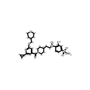 NS(=O)(=O)c1ccc([S+]([O-])CCC2CCN(C(=O)c3cc(OCC4CCOCC4)nc(C4CC4)c3)CC2)c(F)c1